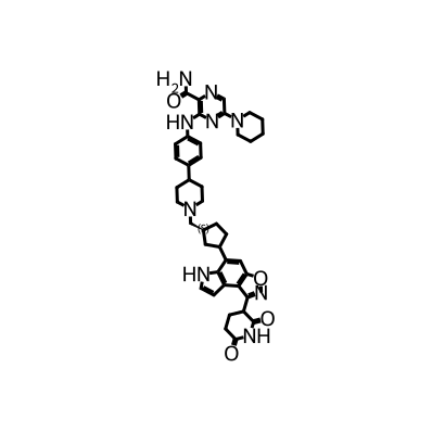 NC(=O)c1ncc(N2CCCCC2)nc1Nc1ccc(C2CCN(C[C@H]3CCC(c4cc5onc(C6CCC(=O)NC6=O)c5c5cc[nH]c45)C3)CC2)cc1